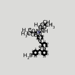 Bc1ccc(C(Sc2ncccc2CN2CCN(/C(=N\C(=O)OC(C)(C)C)NC(=O)OC(C)(C)C)CC2)c2ccccc2)cc1